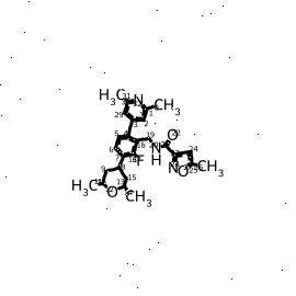 Cc1cc(-c2ccc(C3CC(C)OC(C)C3)c(F)c2CNC(=O)c2cc(C)on2)cc(C)n1